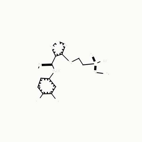 CS(=N)(CCNc1nonc1/C(=N/O)Nc1ccc(F)c(Br)c1)=NC#N